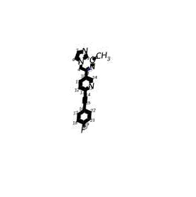 CO/N=C(\Cn1ccnc1)c1ccc(C#Cc2ccc(F)cc2)nc1